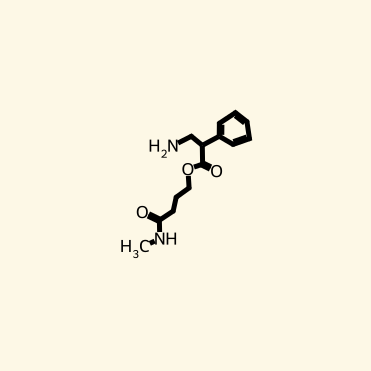 CNC(=O)CCCOC(=O)C(CN)c1ccccc1